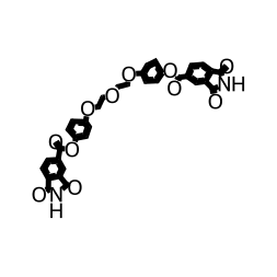 O=C(Oc1ccc(OCCOCCOc2ccc(OC(=O)c3ccc4c(c3)C(=O)NC4=O)cc2)cc1)c1ccc2c(c1)C(=O)NC2=O